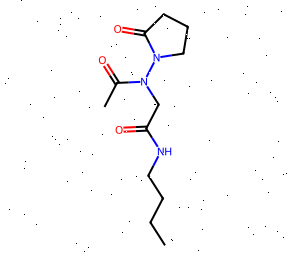 CCCCNC(=O)CN(C(C)=O)N1CCCC1=O